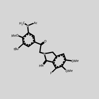 COc1cc2c(c(F)c1OC)C(=N)N(CC(=O)c1cc(N(C)C(C)=O)c(OC)c(C(C)(C)C)c1)C2